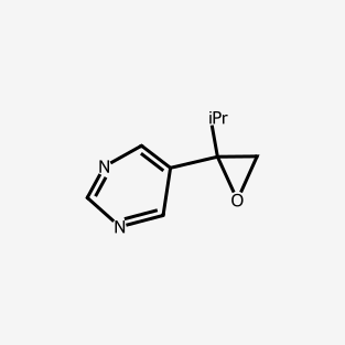 CC(C)C1(c2cncnc2)CO1